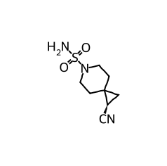 N#C[C@@H]1CC12CCN(S(N)(=O)=O)CC2